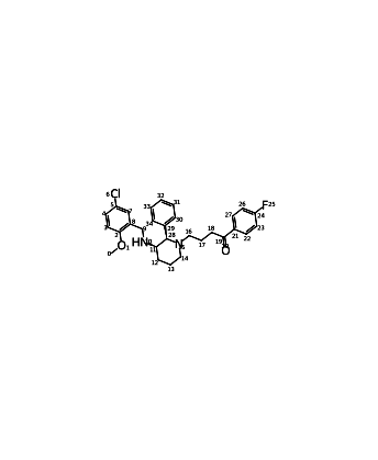 COc1ccc(Cl)cc1CN[C@@H]1CCCN(CCCC(=O)c2ccc(F)cc2)[C@@H]1c1ccccc1